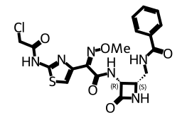 CON=C(C(=O)N[C@H]1C(=O)N[C@H]1CNC(=O)c1ccccc1)c1csc(NC(=O)CCl)n1